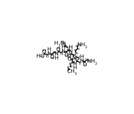 CSCC[C@H](NC(=O)CNC(=O)CN)C(=O)N[C@@H](CCCCN)C(=O)N[C@@H](CCSC)C(=O)NCC(=O)NCC(=O)NCC(=O)O